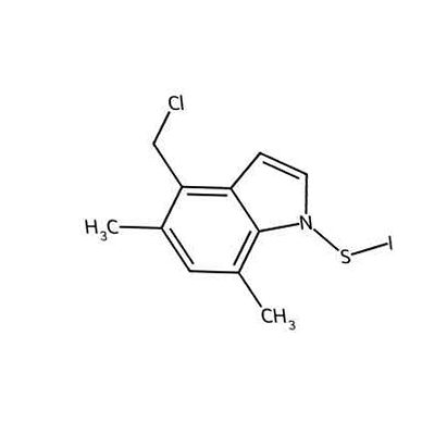 Cc1cc(C)c2c(ccn2SI)c1CCl